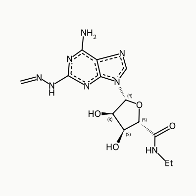 C=NNc1nc(N)c2ncn([C@@H]3O[C@H](C(=O)NCC)[C@@H](O)[C@H]3O)c2n1